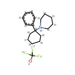 [O]C(F)(F)F.c1ccc(C2(N3CCCCC3)CCCCC2)cc1